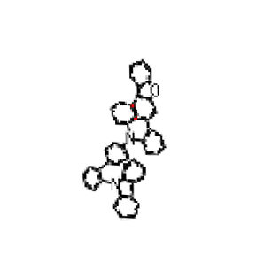 c1ccc(N(c2ccc(-c3ccccc3-n3c4ccccc4c4ccccc43)cc2)c2ccccc2-c2ccc3c(c2)oc2ccccc23)cc1